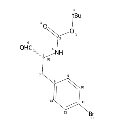 CC(C)(C)OC(=O)N[C@@H](C=O)Cc1ccc(Br)cc1